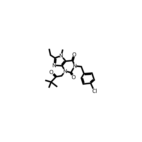 CCc1nc2c(c(=O)n(Cc3ccc(Cl)cc3)c(=O)n2CC(=O)C(C)(C)C)n1C